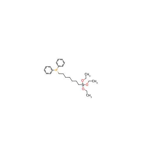 CCO[Si](CCCCCCCP(c1ccccc1)c1ccccc1)(OCC)OCC